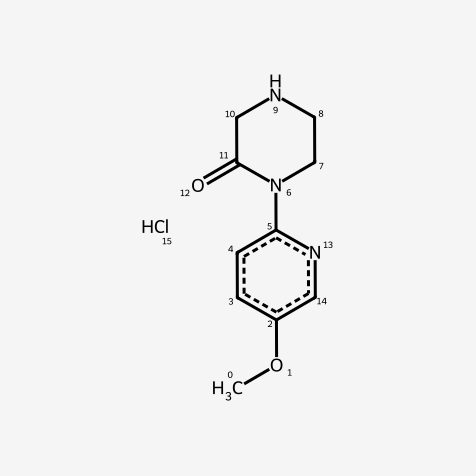 COc1ccc(N2CCNCC2=O)nc1.Cl